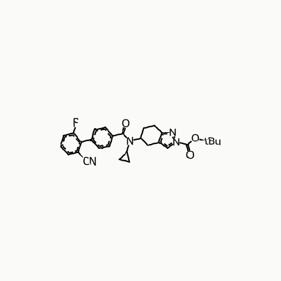 CC(C)(C)OC(=O)n1cc2c(n1)CCC(N(C(=O)c1ccc(-c3c(F)cccc3C#N)cc1)C1CC1)C2